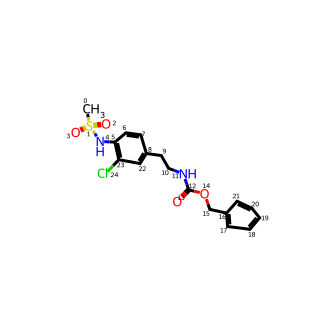 CS(=O)(=O)Nc1ccc(CCNC(=O)OCc2ccccc2)cc1Cl